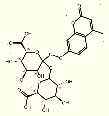 Cc1cc(=O)oc2cc(OOC3(OC4O[C@H](C(=O)O)[C@@H](O)[C@H](O)[C@H]4O)O[C@H](C(=O)O)[C@@H](O)[C@H](O)[C@H]3O)ccc12